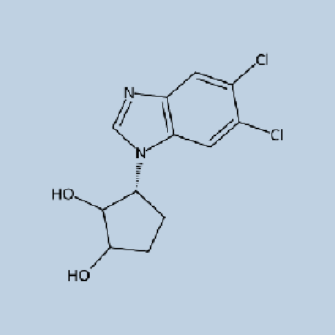 OC1CC[C@@H](n2cnc3cc(Cl)c(Cl)cc32)C1O